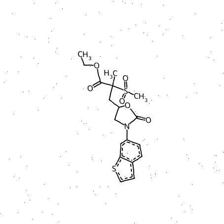 CCOC(=O)C(C)(CC1CN(c2ccc3ccsc3c2)C(=O)O1)S(C)(=O)=O